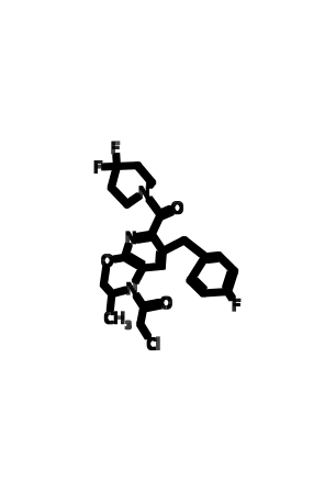 CC1COc2nc(C(=O)N3CCC(F)(F)CC3)c(Cc3ccc(F)cc3)cc2N1C(=O)CCl